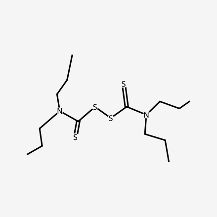 CCCN(CCC)C(=S)SSC(=S)N(CCC)CCC